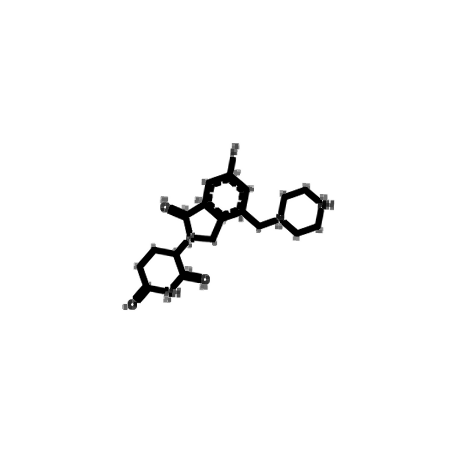 O=C1CCC(N2Cc3c(CN4CCNCC4)cc(F)cc3C2=O)C(=O)N1